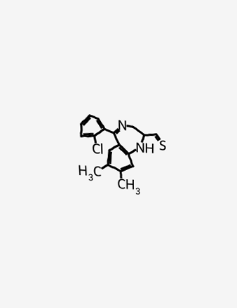 Cc1cc2c(cc1C)C(c1ccccc1Cl)=NCC(C=S)N2